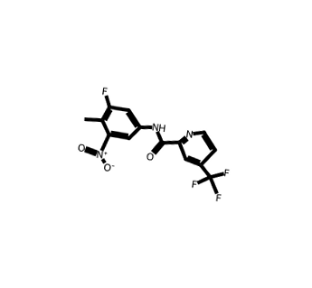 Cc1c(F)cc(NC(=O)c2cc(C(F)(F)F)ccn2)cc1[N+](=O)[O-]